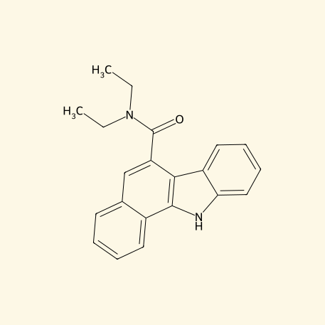 CCN(CC)C(=O)c1cc2ccccc2c2[nH]c3ccccc3c12